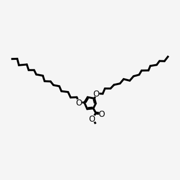 CCCCCCCCCCCCCCCCOc1cc(OCCCCCCCCCCCCCCCC)cc(C(=O)OC)c1